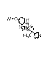 COc1ccc(NC2(C)NC(C)(c3cncs3)CS2)c(C)c1